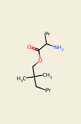 CC(C)CC(C)(C)COC(=O)C(N)C(C)C